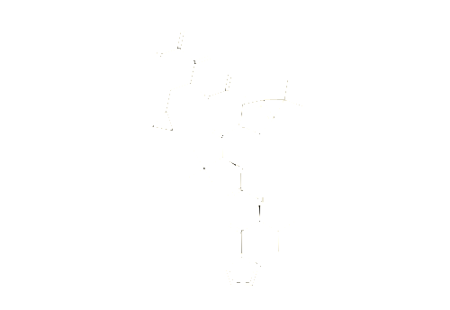 CC(C)[C@H](NC(=O)N[C@H](C(=O)N1C[C@H]2[C@@H]([C@H]1C(=O)NC(CC1CC1)C(=O)C(N)=O)C2(C)C)C(C)(C)C)C(=O)c1ncco1